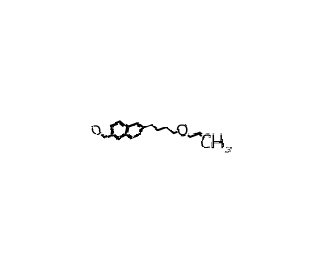 CCCOCCCCc1ccc2cc(C=O)ccc2c1